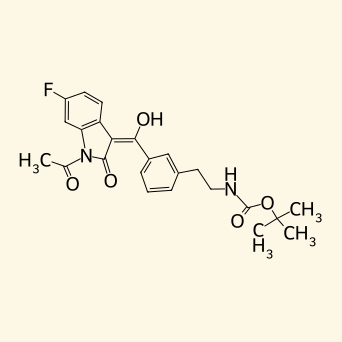 CC(=O)N1C(=O)C(=C(O)c2cccc(CCNC(=O)OC(C)(C)C)c2)c2ccc(F)cc21